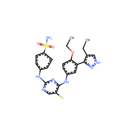 N#CCOc1ccc(Nc2nc(Nc3ccc(S(N)(=O)=O)cc3)ncc2F)cc1-c1n[nH]cc1CC#N